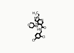 CCn1ncc2c(NC3CCOCC3)c(C(=O)NCc3ccc(Cl)cc3Cl)cnc21